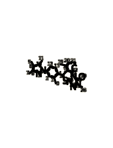 Cc1cc(-n2nc(C)c(C)c2C)ccc1C(=S)c1c(C)cccc1-n1nnn(C)c1=O